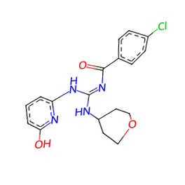 O=C(/N=C(\Nc1cccc(O)n1)NC1CCOCC1)c1ccc(Cl)cc1